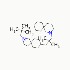 CC(C)(C)CN1CCC2(CCC(CC(C)(C)CN3CCCC4(CCCCC4)C3)CC2)C1